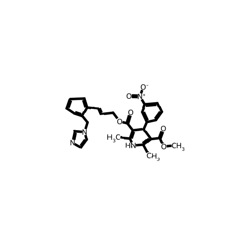 COC(=O)C1=C(C)NC(C)=C(C(=O)OCC=Cc2ccccc2Cn2ccnc2)C1c1cccc([N+](=O)[O-])c1